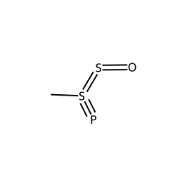 CS(#P)=S=O